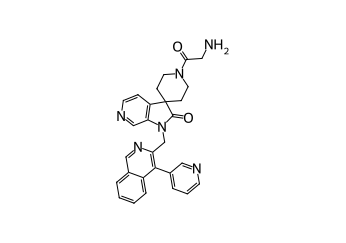 NCC(=O)N1CCC2(CC1)C(=O)N(Cc1ncc3ccccc3c1-c1cccnc1)c1cnccc12